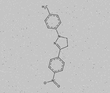 Cc1ccc(N2CCC(c3ccc([N+](=O)[O-])cc3)=N2)cc1